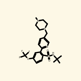 CN1CCN(Cc2ccc(-c3cc(OC(F)(F)F)ccc3S(=O)(=O)NC(C)(C)C)nc2)CC1